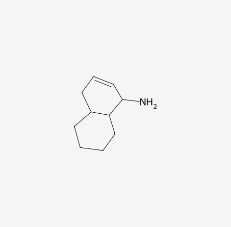 NC1C=CCC2CCCCC12